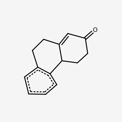 O=C1C=C2CCc3ccccc3C2CC1